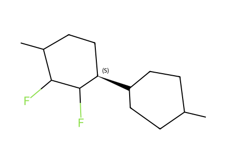 CC1CCC([C@@H]2CCC(C)C(F)C2F)CC1